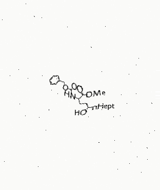 CCCCCCCC(O)CCC(NC(=O)OCc1ccccc1)C(=O)OC